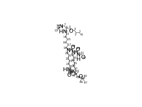 CCCCOCC(CN1CC1C)NCCCCCCN(CCCCCCNC=O)C(=O)N(CCCCCCNC(C)(C)COC(C)(C)C)C(=O)NC=O